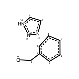 ClCc1ccccc1.c1c[nH]nn1